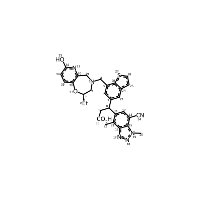 CC[C@@H]1CN(Cc2cc(C(CC(=O)O)c3cc(C#N)c4c(nnn4C)c3C)cc3ccsc23)Cc2nc(O)ccc2O1